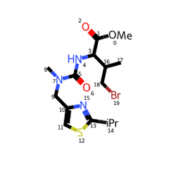 COC(=O)C(NC(=O)N(C)Cc1csc(C(C)C)n1)C(C)CBr